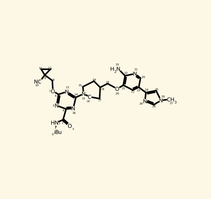 CC[C@@H](C)NC(=O)c1nc(OCC2(C#N)CC2)nc(N2CCC(COc3cc(-c4cn(C)cn4)cnc3N)CC2)n1